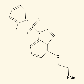 CNCCOc1cccc2c1ccn2S(=O)(=O)c1ccccc1F